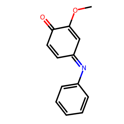 COC1=CC(=Nc2ccccc2)C=CC1=O